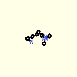 N#Cc1ccccc1-c1ccc(-c2ccc3c(-c4ccc(-c5nc(-c6ccccc6)nc(-c6ccccc6)n5)cc4)cccc3c2)cc1